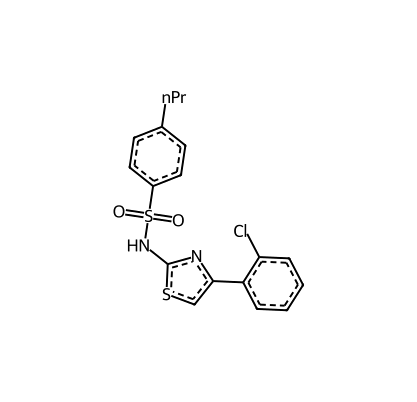 CCCc1ccc(S(=O)(=O)Nc2nc(-c3ccccc3Cl)cs2)cc1